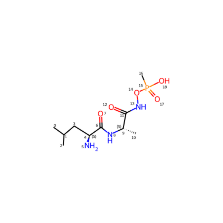 CC(C)C[C@H](N)C(=O)N[C@@H](C)C(=O)NOP(C)(=O)O